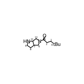 CC(C)(C)CCC(=O)N1CC2CCNC2C1